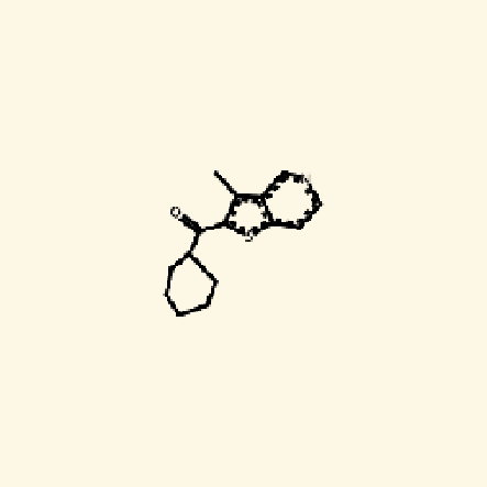 Cc1c(C(=O)C2CCCCC2)sc2ccncc12